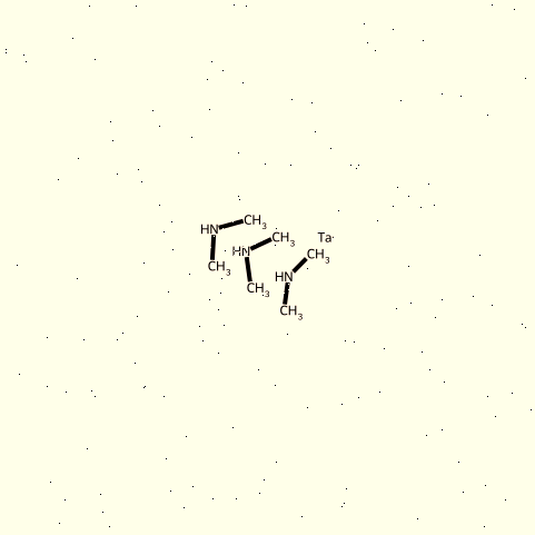 CNC.CNC.CNC.[Ta]